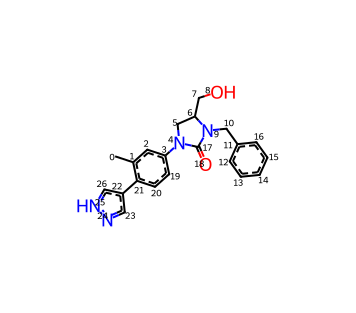 Cc1cc(N2CC(CO)N(Cc3ccccc3)C2=O)ccc1-c1cn[nH]c1